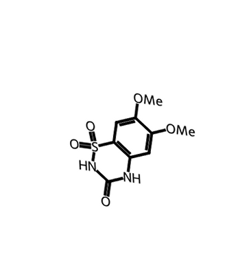 COc1cc2c(cc1OC)S(=O)(=O)NC(=O)N2